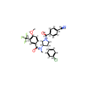 COc1ccc(C(=O)N(C)[C@H]2CN(C(=O)c3ccc(C#N)cc3)C[C@@H]2c2ccc(Cl)cc2)cc1C(F)(F)F